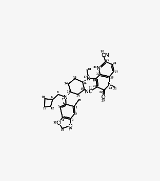 Cc1cc2c(cc1N(CC1CCC1)[C@H]1CC[C@@H](N(C)c3c(C#N)c(=O)n(C)c4ccc(C#N)nc34)CC1)OCO2